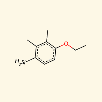 CCOc1ccc([SiH3])c(C)c1C